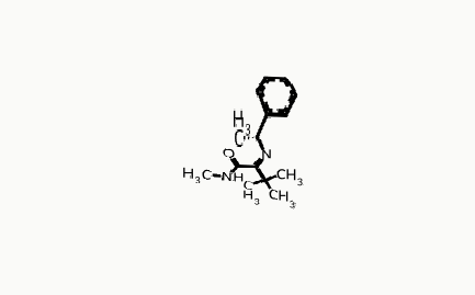 CNC(=O)/C(=N\[C@H](C)c1ccccc1)C(C)(C)C